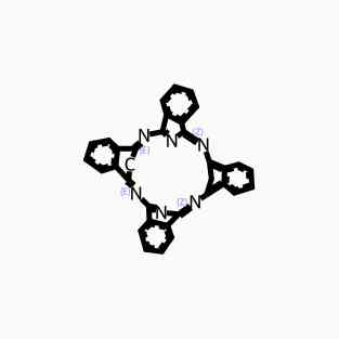 c1ccc2c(c1)C1=NC/2=N\C2=c3ccccc3=C(C2)/N=C2N=C(/N=C3\C/C(=N\1)c1ccccc13)c1ccccc1\2